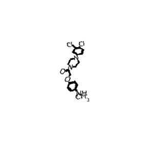 CNc1ccc(OCC(=O)N2CCN(c3ccc(Cl)c(Cl)c3)CC2)cc1